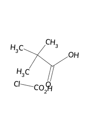 CC(C)(C)C(=O)O.O=C(O)Cl